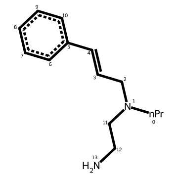 [CH2]CCN(CC=Cc1ccccc1)CCN